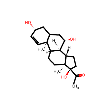 CC(=O)[C@@]1(O)CC[C@H]2[C@@H]3[C@@H](O)CC4C[C@@H](O)C=C[C@]4(C)[C@H]3CC[C@@]21C